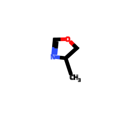 CC1[CH]OC=N1